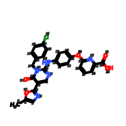 Cc1cnc(-c2cnc(Nc3ccc(Oc4cccc(C(=O)O)n4)cc3)n(Cc3ccc(Cl)cc3)c2=O)o1